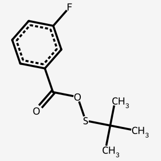 CC(C)(C)SOC(=O)c1cccc(F)c1